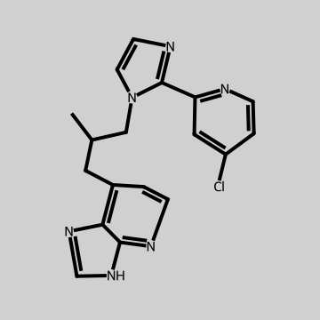 CC(Cc1ccnc2[nH]cnc12)Cn1ccnc1-c1cc(Cl)ccn1